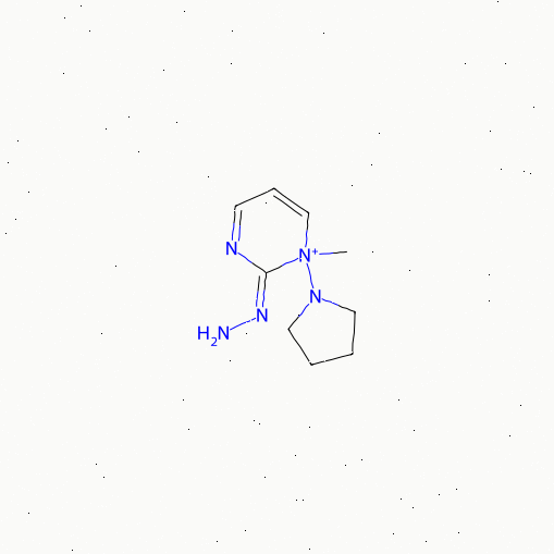 C[N+]1(N2CCCC2)C=CC=NC1=NN